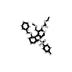 CCOC(=O)Oc1ncc2c(c1COC)c1c(OCc3ccccc3)cccc1n2S(=O)(=O)c1ccc(C)cc1